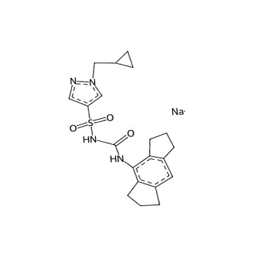 O=C(Nc1c2c(cc3c1CCC3)CCC2)NS(=O)(=O)c1cnn(CC2CC2)c1.[Na]